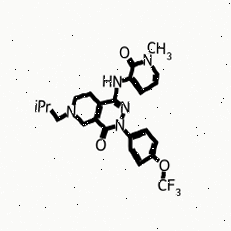 CC(C)CN1CCc2c(Nc3cccn(C)c3=O)nn(-c3ccc(OC(F)(F)F)cc3)c(=O)c2C1